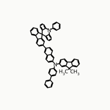 CC1(C)c2ccccc2-c2ccc(N(c3ccc(-c4ccccc4)cc3)c3ccc4cc(-c5ccc6c(c5)C5(c7ccccc7-6)c6ccccc6N(c6ccccc6)c6ccccc65)ccc4c3)cc21